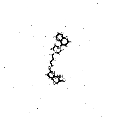 O=C1COc2ccc(OCCCCN3CCN(c4cccc5cccnc45)CC3)nc2N1